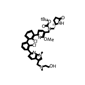 COc1nc(-c2cccc(-c3cccc(-c4ccc5c(CN(C)CCO)cn(C)c5n4)c3Cl)c2Cl)ccc1CN(C[C@@H]1CCC(=O)N1)C(=O)OC(C)(C)C